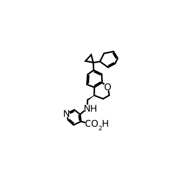 O=C(O)c1ccncc1NC[C@@H]1CCOc2cc(C3(C4C=CC=CC4)CC3)ccc21